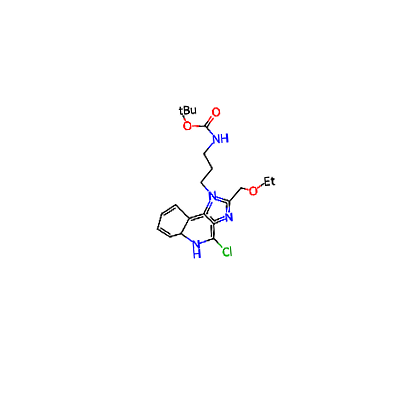 CCOCc1nc2c(n1CCCNC(=O)OC(C)(C)C)=C1C=CC=CC1NC=2Cl